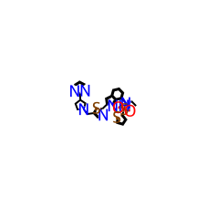 CCN(c1cccc2cc(-c3ncc(CN4CCC(c5ncccn5)C4)s3)[nH]c12)S(=O)(=O)c1cccs1